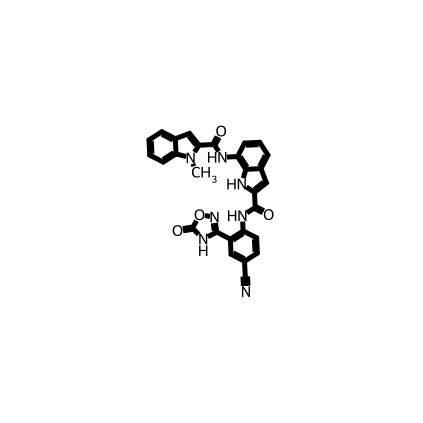 Cn1c(C(=O)Nc2cccc3cc(C(=O)Nc4ccc(C#N)cc4-c4noc(=O)[nH]4)[nH]c23)cc2ccccc21